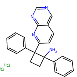 Cl.Cl.NC1(c2ccccc2)CCC1(c1ccccc1)c1ccc2cncnc2n1